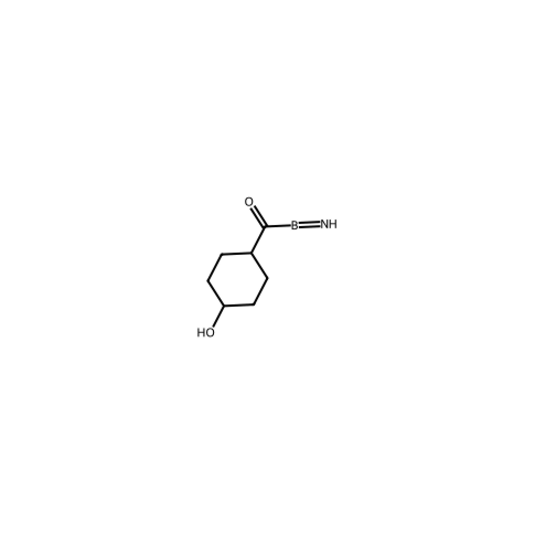 N=BC(=O)C1CCC(O)CC1